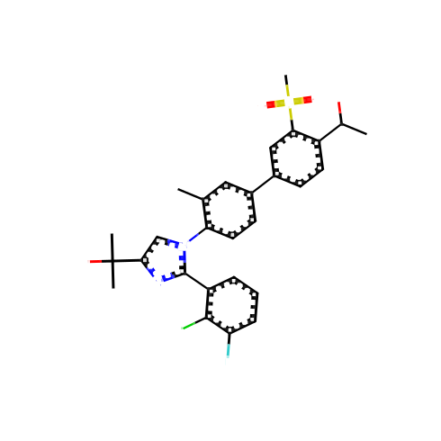 Cc1cc(-c2ccc(C(C)O)c(S(C)(=O)=O)c2)ccc1-n1cc(C(C)(C)O)nc1-c1cccc(F)c1Cl